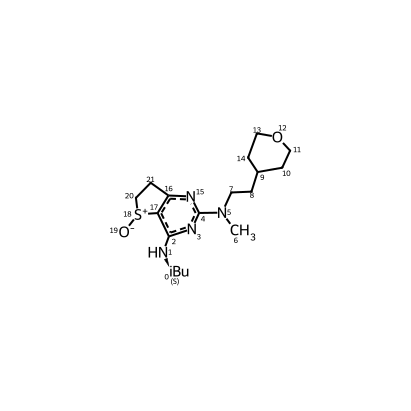 CC[C@H](C)Nc1nc(N(C)CCC2CCOCC2)nc2c1[S+]([O-])CC2